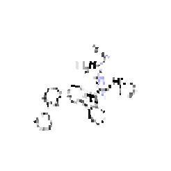 C=C/C=C\C(N)/C=C/C(=C\CC1=CC=CCN1)n1c2c(c3cc(-c4cccc(-c5ccccc5)c4)ccc31)C=CCC2